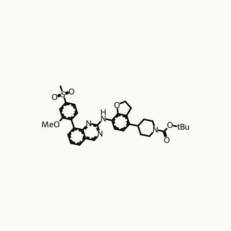 COc1cc(S(C)(=O)=O)ccc1-c1cccc2cnc(Nc3ccc(C4CCN(C(=O)OC(C)(C)C)CC4)c4c3OCC4)nc12